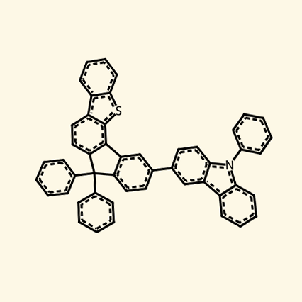 c1ccc(-n2c3ccccc3c3cc(-c4ccc5c(c4)-c4c(ccc6c4sc4ccccc46)C5(c4ccccc4)c4ccccc4)ccc32)cc1